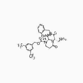 COc1ccccc1CN1C[C@@H]2N(C(=O)OCc3cc(C(F)(F)F)cc(C(F)(F)F)c3)CCC(=O)N2[C@@H](CN)C1=O